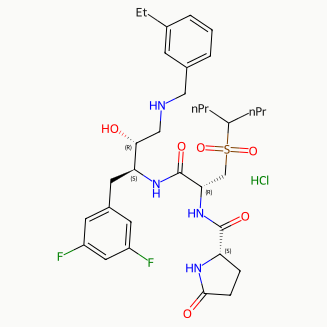 CCCC(CCC)S(=O)(=O)C[C@H](NC(=O)[C@@H]1CCC(=O)N1)C(=O)N[C@@H](Cc1cc(F)cc(F)c1)[C@H](O)CNCc1cccc(CC)c1.Cl